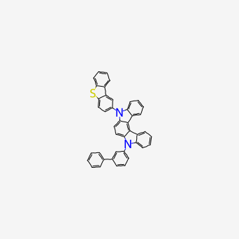 c1ccc(-c2cccc(-n3c4ccccc4c4c5c6ccccc6n(-c6ccc7sc8ccccc8c7c6)c5ccc43)c2)cc1